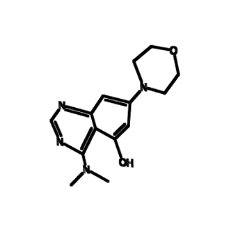 CN(C)c1ncnc2cc(N3CCOCC3)cc(O)c12